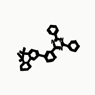 CC1(C)c2ccccc2-c2cc(-c3cccc(-c4nc(-c5ccccc5)nc(-c5ccccc5)n4)c3)ccc2C1(C)C